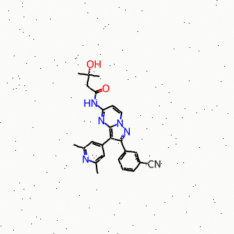 Cc1cc(-c2c(-c3cccc(C#N)c3)nn3ccc(NC(=O)CC(C)(C)O)nc23)cc(C)n1